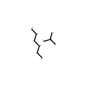 CC(C)C.CCCCCC